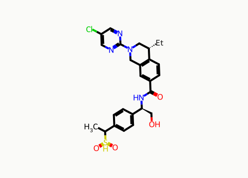 CC[C@H]1CN(c2ncc(Cl)cn2)Cc2cc(C(=O)N[C@@H](CO)c3ccc(C(C)[SH](=O)=O)cc3)ccc21